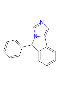 c1ccc(C2c3ccccc3-c3cncn32)cc1